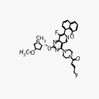 CO[C@@H]1C[C@@H](COc2nc(N3CCN(C(=O)/C=C/CF)CC3)c3cnc(-c4cccc5cccc(Cl)c45)c(F)c3n2)N(C)C1